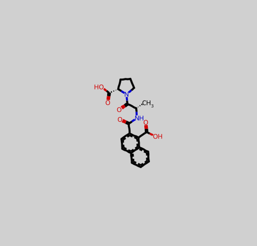 C[C@H](NC(=O)c1ccc2ccccc2c1C(=O)O)C(=O)N1CCC[C@H]1C(=O)O